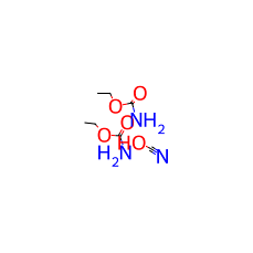 CCOC(N)=O.CCOC(N)=O.N#CO